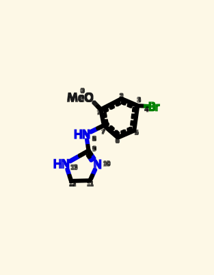 COc1cc(Br)ccc1NC1=NCCN1